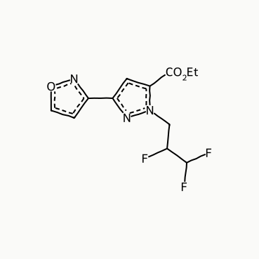 CCOC(=O)c1cc(-c2ccon2)nn1CC(F)C(F)F